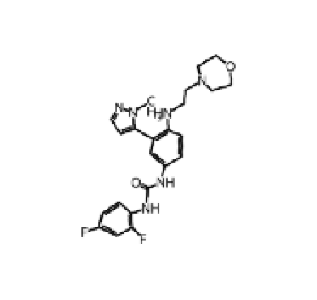 Cn1nccc1-c1cc(NC(=O)Nc2ccc(F)cc2F)ccc1NCCN1CCOCC1